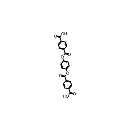 O=C(O)c1ccc(C(=O)Oc2ccc(OC(=O)c3ccc(C(=O)O)cc3)cc2)cc1